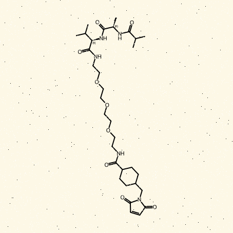 CC(C)C(=O)N[C@H](C)C(=O)N[C@@H](C(=O)NCCOCCOCCOCCNC(=O)C1CCC(CN2C(=O)C=CC2=O)CC1)C(C)C